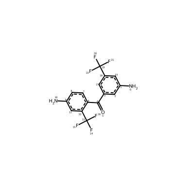 Nc1cc(C(=O)c2ccc(N)cc2C(F)(F)F)cc(C(F)(F)F)c1